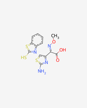 CON=C(C(=O)O)c1csc(N)n1.Sc1nc2ccccc2s1